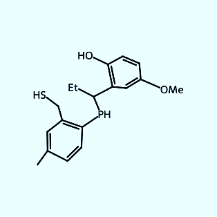 CCC(Pc1ccc(C)cc1CS)c1cc(OC)ccc1O